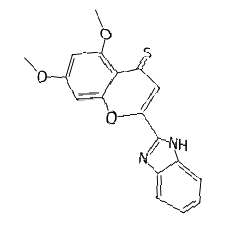 COc1cc(OC)c2c(=S)cc(-c3nc4ccccc4[nH]3)oc2c1